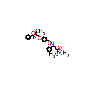 Cc1oc(-c2ccccc2)nc1COc1ccc(CON=C(CCC(=O)N(C)C)c2ccccc2)cc1